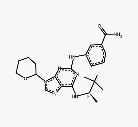 C[C@@H](Nc1nc(Nc2cccc(C(N)=O)c2)nc2c1ncn2C1CCCCO1)C(C)(C)C